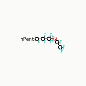 CCCCCc1ccc(-c2cc(F)c(-c3cc(F)c(C(F)(F)Oc4ccc(-c5ccc(F)c(F)c5)c(F)c4)c(F)c3)c(F)c2)c(F)c1